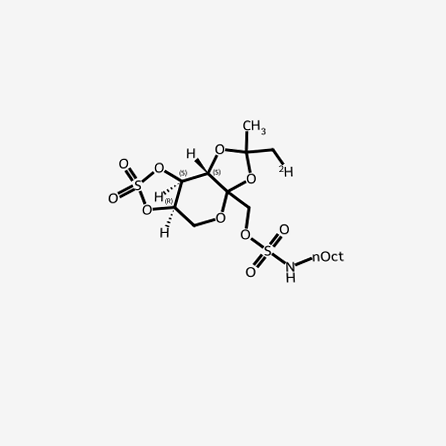 [2H]CC1(C)O[C@H]2[C@@H]3OS(=O)(=O)O[C@@H]3COC2(COS(=O)(=O)NCCCCCCCC)O1